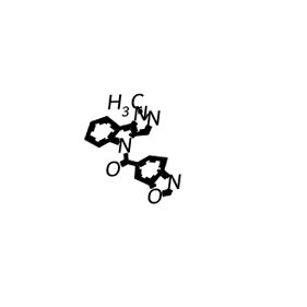 Cn1ncc2c1c1ccccc1n2C(=O)c1ccc2ncoc2c1